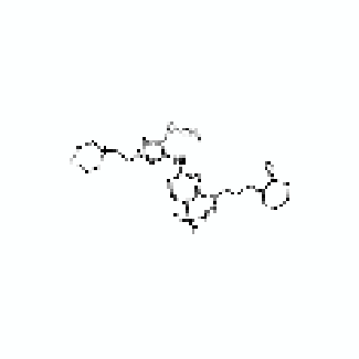 COc1nn(CCN2CCOCC2)cc1Nc1ncc(C(F)(F)F)c(NCCCN2CCCCC2=O)n1